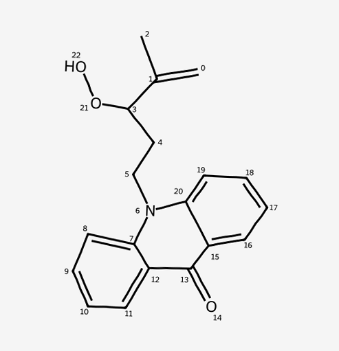 C=C(C)C(CCn1c2ccccc2c(=O)c2ccccc21)OO